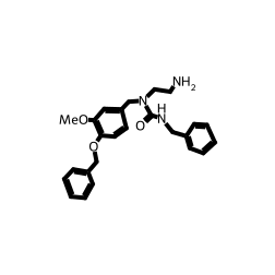 COc1cc(CN(CCN)C(=O)NCc2ccccc2)ccc1OCc1ccccc1